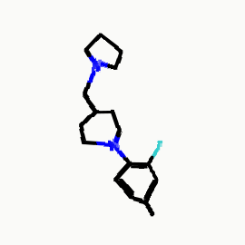 Cc1ccc(N2CCC(CN3CCCC3)CC2)c(F)c1